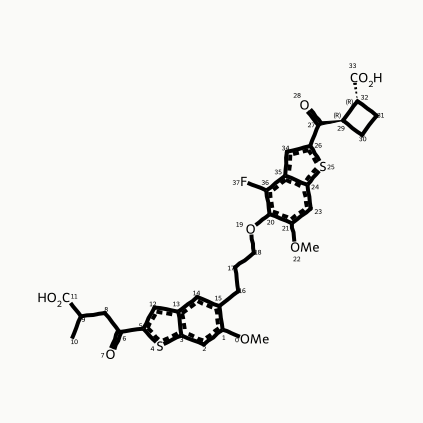 COc1cc2sc(C(=O)CC(C)C(=O)O)cc2cc1CCCOc1c(OC)cc2sc(C(=O)[C@@H]3CC[C@H]3C(=O)O)cc2c1F